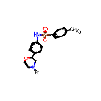 CCN1CCOC(c2ccc(NS(=O)(=O)c3ccc(C=O)cc3)cc2)C1